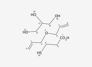 C=CCOCC=C.O=C(O)CCS.OCC(O)CO